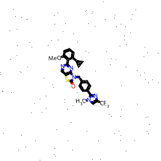 COc1cccc(C2CC2)c1-c1ncc2sc(=O)n(Cc3ccc(-c4nc(C(F)(F)F)cn4C)cc3)c2n1